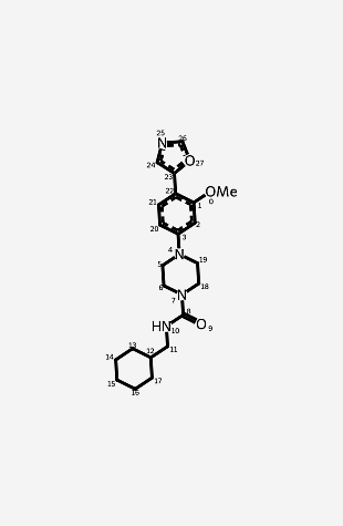 COc1cc(N2CCN(C(=O)NCC3CCCCC3)CC2)ccc1-c1cnco1